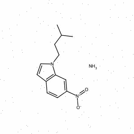 CC(C)CCn1ccc2ccc([N+](=O)[O-])cc21.N